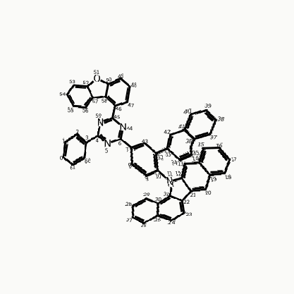 c1ccc(-c2nc(-c3ccc(-n4c5cc6ccccc6cc5c5ccc6ccccc6c54)c(-c4ccc5ccccc5c4)c3)nc(-c3cccc4oc5ccccc5c34)n2)cc1